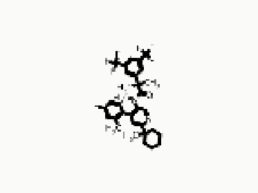 Cc1cc(F)ccc1-c1cc(C2(C)C[CH]CCC2)ncc1N(C)C(=O)C(C)(C)c1cc(C(F)(F)F)cc(C(F)(F)F)c1